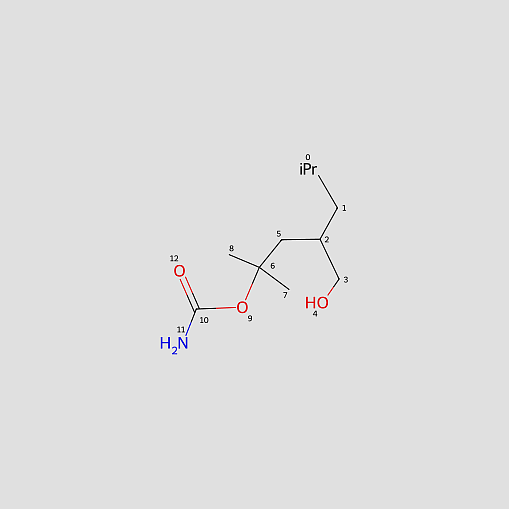 CC(C)CC(CO)CC(C)(C)OC(N)=O